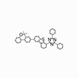 CC1(C)Oc2ccccc2-c2ccc(-c3ccc4sc5c(-c6nc(-c7ccccc7)nc(-c7ccccc7)n6)cccc5c4c3)cc21